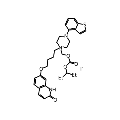 CCC(CC)OC(=O)OC[N+]1(CCCCOc2ccc3ccc(=O)[nH]c3c2)CCN(c2cccc3sccc23)CC1.[I-]